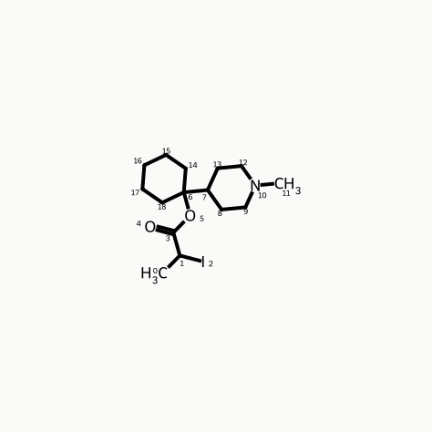 CC(I)C(=O)OC1(C2CCN(C)CC2)CCCCC1